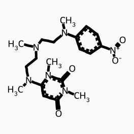 CN(CCN(C)c1ccc([N+](=O)[O-])cc1)CCN(C)c1cc(=O)n(C)c(=O)n1C